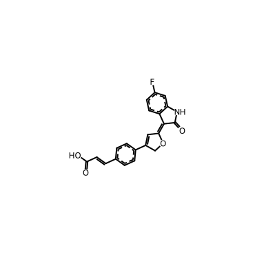 O=C(O)C=Cc1ccc(C2=CC(=C3C(=O)Nc4cc(F)ccc43)OC2)cc1